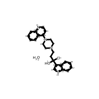 O.OC(Cl)(CCN1CCN(c2ccnc3ccccc23)CC1)c1csc2ccccc12